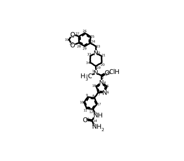 CN(C(=O)n1cnc(-c2cccc(NC(N)=O)c2)c1)C1CCN(Cc2ccc3c(c2)OCO3)CC1.Cl